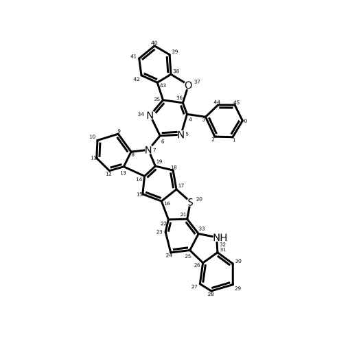 c1ccc(-c2nc(-n3c4ccccc4c4cc5c(cc43)sc3c5ccc4c5ccccc5[nH]c43)nc3c2oc2ccccc23)cc1